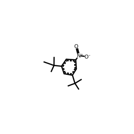 CC(C)(C)c1cc([N+](=O)[O-])cc(C(C)(C)C)c1